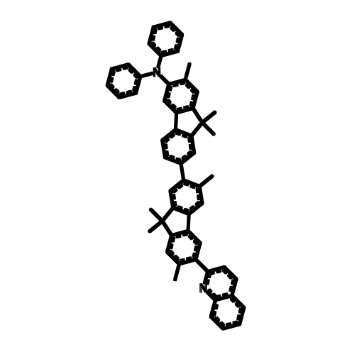 Cc1cc2c(cc1-c1ccc3c(c1)C(C)(C)c1cc(C)c(N(c4ccccc4)c4ccccc4)cc1-3)C(C)(C)c1cc(C)c(-c3ccc4ccccc4n3)cc1-2